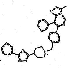 Cc1nnc2c(-c3ccccc3)c(-c3ccc(CN4CCC(c5n[nH]c(-c6ccccn6)n5)CC4)cc3)ncn12